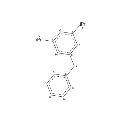 CC(C)c1[c]c(C(C)C)cc(Cc2ccccc2)c1